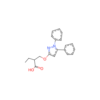 CCC(COc1cc(-c2ccccc2)n(-c2ccccc2)n1)C(=O)O